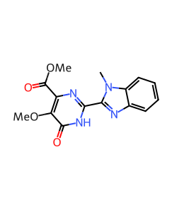 COC(=O)c1nc(-c2nc3ccccc3n2C)[nH]c(=O)c1OC